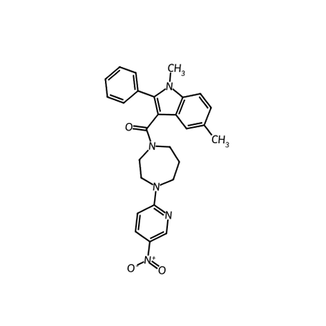 Cc1ccc2c(c1)c(C(=O)N1CCCN(c3ccc([N+](=O)[O-])cn3)CC1)c(-c1ccccc1)n2C